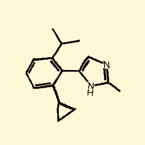 Cc1ncc(-c2c(C(C)C)cccc2C2CC2)[nH]1